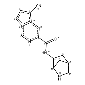 N#Cc1ccn2cnc(C(=O)NC3CC4CNC3C4)cc12